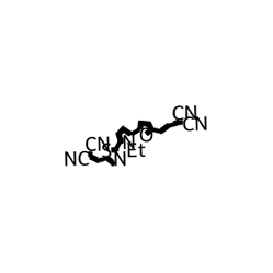 CCn1c(-c2ccc(/C=C/C=C(C#N)C#N)o2)ccc1-c1ncc(C=C(C#N)C#N)s1